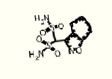 NS(=O)(=O)C(c1noc2ccccc12)S(N)(=O)=O